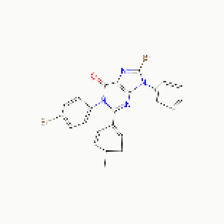 Cc1ccc(-c2nc3c(nc(Br)n3-c3ccccc3)c(=O)n2-c2ccc(Br)cc2)cc1